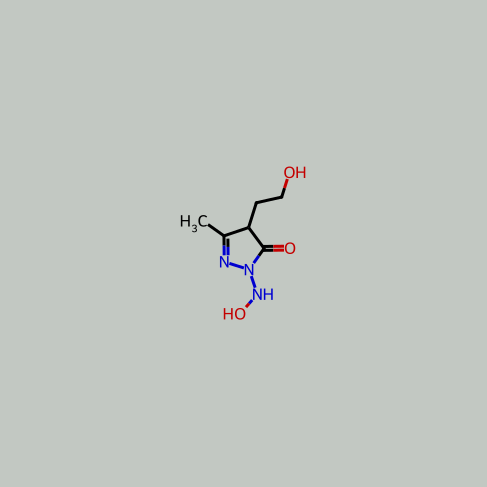 CC1=NN(NO)C(=O)C1CCO